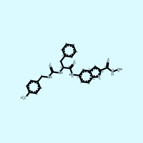 Cc1ccc(CNC(=O)NC(Cc2ccccc2)C(=O)Nc2ccc3sc(C(=O)NO)cc3c2)cc1